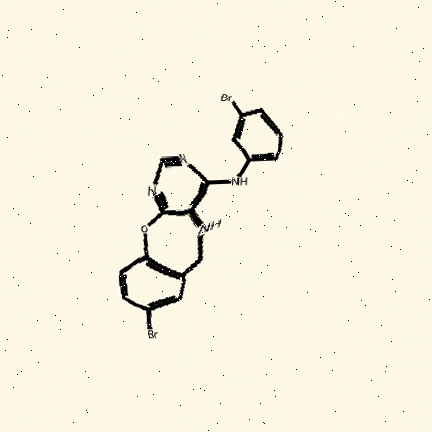 Brc1cccc(Nc2ncnc3c2NCc2cc(Br)ccc2O3)c1